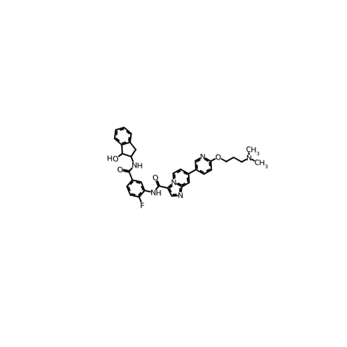 CN(C)CCCOc1ccc(-c2ccn3c(C(=O)Nc4cc(C(=O)NC5Cc6ccccc6C5O)ccc4F)cnc3c2)cn1